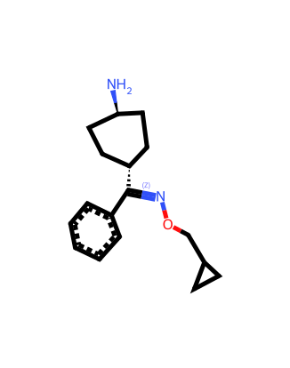 N[C@H]1CC[C@H](/C(=N/OCC2CC2)c2ccccc2)CC1